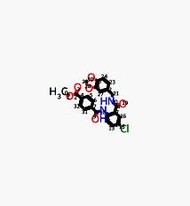 COC(=O)c1ccc(C(=O)Nc2ccc(Cl)cc2C(=O)NCc2ccc3c(c2)OCO3)cc1